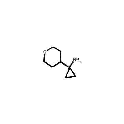 NC1([C]2CCOCC2)CC1